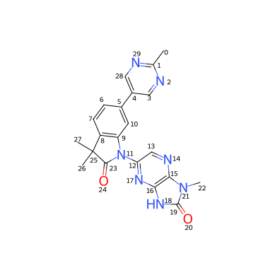 Cc1ncc(-c2ccc3c(c2)N(c2cnc4c(n2)[nH]c(=O)n4C)C(=O)C3(C)C)cn1